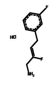 Cl.NCC(F)=CCc1cccc(F)c1